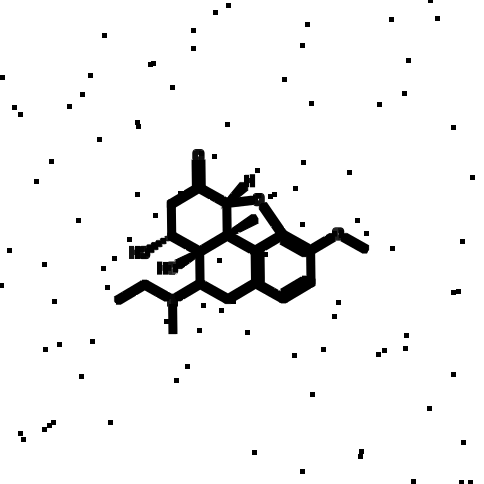 CCN(C)C1Cc2ccc(OC)c3c2[C@@]2(C)[C@@H](O3)C(=O)C[C@@H](O)[C@@]12O